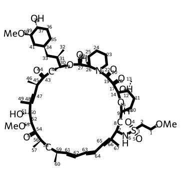 COCCS(=O)(=O)NC1C[C@@H]2CC[C@@H](C)[C@@](O)(O2)C(=O)C(=O)N2CCCC[C@H]2C(=O)O[C@H]([C@H](C)C[C@@H]2CC[C@@H](O)[C@H](OC)C2)CC(=O)[C@H](C)/C=C(\C)[C@@H](O)[C@@H](OC)C(=O)[C@H](C)C[C@H](C)/C=C/C=C/C=C/1C